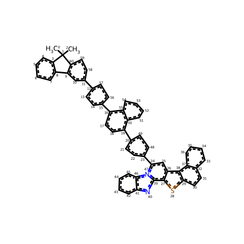 CC1(C)c2ccccc2-c2cc(-c3ccc(-c4ccc(-c5ccc(-c6cc7c(sc8ccc9ccccc9c87)c7nc8ccccc8n67)cc5)c5ccccc45)cc3)ccc21